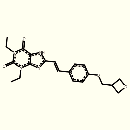 CCn1c(=O)c2[nH]c(C=Cc3ccc(OCC4COC4)cc3)nc2n(CC)c1=O